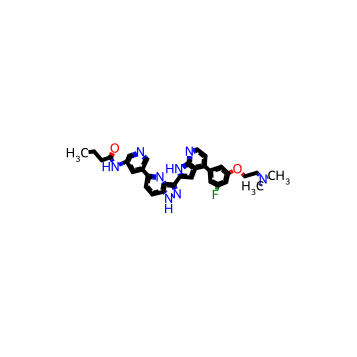 CCCC(=O)Nc1cncc(-c2ccc3[nH]nc(-c4cc5c(-c6cc(F)cc(OCCN(C)C)c6)ccnc5[nH]4)c3n2)c1